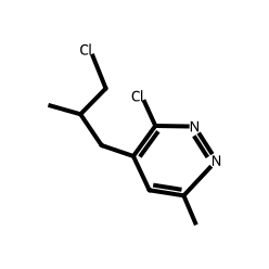 Cc1cc(CC(C)CCl)c(Cl)nn1